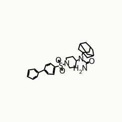 NC(=O)N(C1CCN(S(=O)(=O)c2ccc(-c3ccccc3)cc2)CC1)C12CC3CC(CC(C3)C1)C2